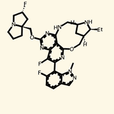 CC[C@@H]1N[C@H]2CNc3nc(OC[C@@]45CCCN4C[C@H](F)C5)nc4c(F)c(-c5c(F)ccc6cnn(C)c56)nc(c34)OC[C@H]1C2